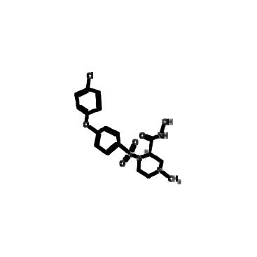 CN1CCN(S(=O)(=O)c2ccc(Oc3ccc(Cl)cc3)cc2)[C@@H](C(=O)NO)C1